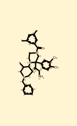 Cc1cc(C)cc(C(=O)N2CCN(C3CCN(Cc4ccccc4)CC3C)C(C(=O)CN)(c3ccc(Cl)c(Cl)c3)C2)c1